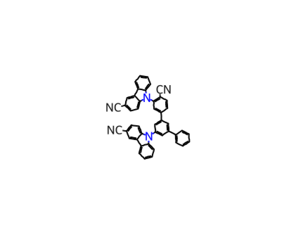 N#Cc1ccc2c(c1)c1ccccc1n2-c1cc(-c2ccccc2)cc(-c2ccc(C#N)c(-n3c4ccccc4c4cc(C#N)ccc43)c2)c1